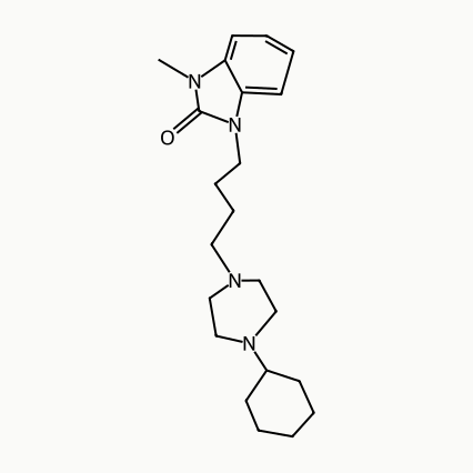 Cn1c(=O)n(CCCCN2CCN(C3CCCCC3)CC2)c2ccccc21